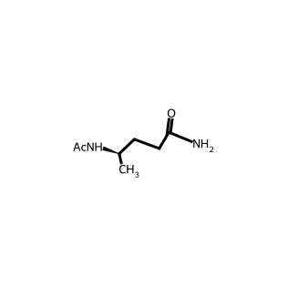 CC(=O)N[C@H](C)CCC(N)=O